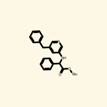 CC(C)(C)OC(=O)C(Nc1cncc(Cc2ccccc2)c1)c1ccccc1